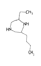 CCCCC1CNCC(CC)N1